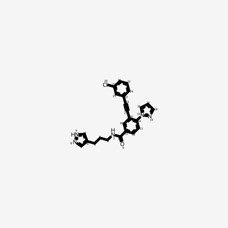 O=C(NCCCc1cn[nH]c1)c1ccc(-n2cccn2)c(C#Cc2cccc(Cl)c2)c1